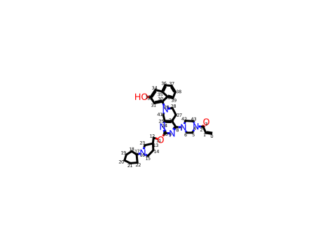 C=CC(=O)N1CCN(c2nc(OCC3CCN(C4CCCCC4)C3)nc3c2CCN(c2cc(O)cc4ccccc24)C3)CC1